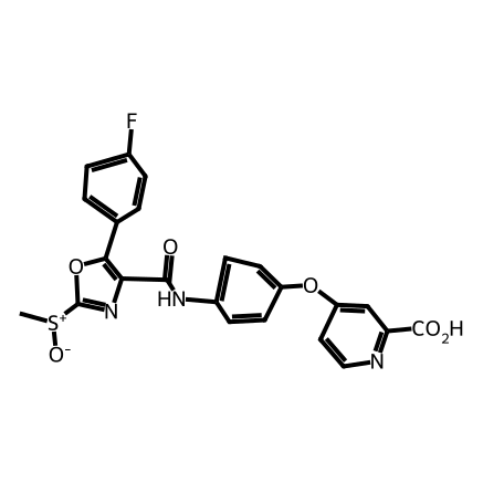 C[S+]([O-])c1nc(C(=O)Nc2ccc(Oc3ccnc(C(=O)O)c3)cc2)c(-c2ccc(F)cc2)o1